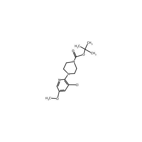 COc1cnc(N2CCN(C(=O)OC(C)(C)C)CC2)c(Cl)c1